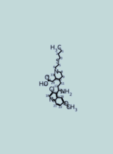 CCCCSCCN1CCC(CC[C@@H](N)c2c(Cl)cnc3ccc(OC)cc23)C(CC(=O)O)C1